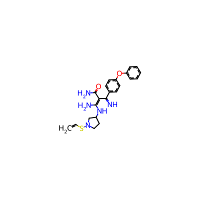 C=CSN1CCC(N/C(N)=C(\C(=N)c2ccc(Oc3ccccc3)cc2)C(N)=O)C1